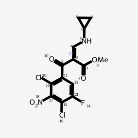 COC(=O)/C(=C\NC1CC1)C(=O)c1cc(F)c(Cl)c([N+](=O)[O-])c1Cl